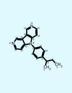 CCC(C)c1ccc(-n2c3ccncc3c3cnccc32)cc1